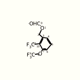 O=[C]OCc1cccc(OC(F)(F)F)c1C(F)(F)F